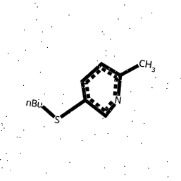 CCCCSc1ccc(C)nc1